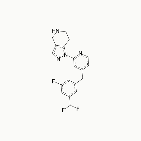 Fc1cc(Cc2ccnc(-n3ncc4c3CCNC4)c2)cc(C(F)F)c1